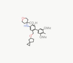 COc1cc(-c2ccc(NC3(C(=O)O)CCOCC3)cc2CO[C@@H]2CCC3(CC3)C2)cc(OC)c1C